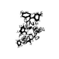 CC(C)(C)OC(=O)N[C@H](C(=O)Nc1cccc(F)c1CC[C@H]1CN(C(=O)OC(C)(C)C)CC2(CC2)N1S(=O)(=O)c1ccccc1)C(c1ccc(F)cc1)c1ccc(F)cc1